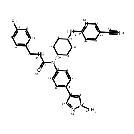 Cn1cc(-c2ccc(N(C(=O)NCc3ccc(F)cc3)[C@H]3CC[C@H](Nc4ccc(C#N)cn4)CC3)cc2)cn1